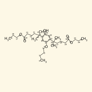 CCCCOc1cc(C(C)(C)CCCC(=O)OCCC)c(O)cc1C(C)(C)CCCC(=O)OCCC